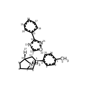 Cc1ccc([C@H]2CC3CC[C@H]([C@@H]2c2nc(-c4ccccc4)no2)N3C)cc1